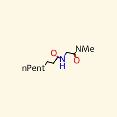 CCCCCCCC(=O)NCC(=O)NC